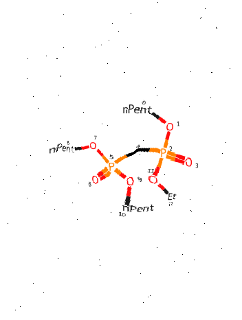 CCCCCOP(=O)(CP(=O)(OCCCCC)OCCCCC)OCC